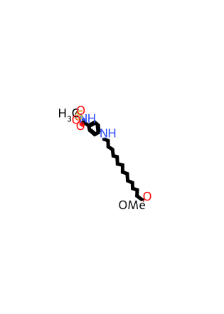 COC(=O)CCCCCCCCCCCCCCCNc1ccc(C(=O)NS(C)(=O)=O)cc1